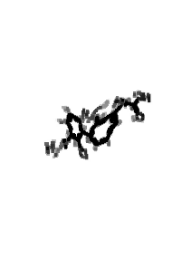 Cc1c(NC(=O)O)cccc1-c1cccc(N)c1Cl